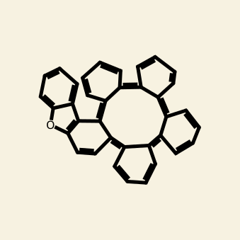 c1ccc2c(c1)oc1ccc3c4ccccc4c4ccccc4c4ccccc4c4ccccc4c3c12